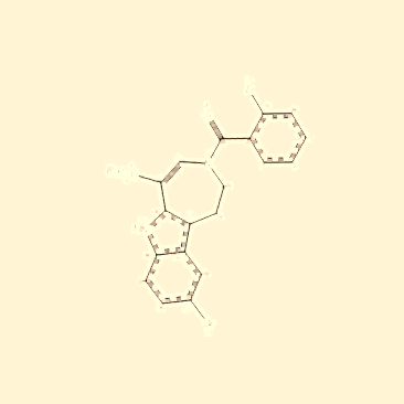 CCOC(=O)C1=CN(C(=O)c2ccccc2F)CCc2c1[nH]c1ccc(Br)cc21